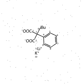 CCC(C)C(C(=O)[O-])(C(=O)[O-])c1ccccc1.[K+].[Li+]